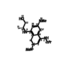 CCCNC1=CN(NC)Cc2c(N[C@H](C)CO)nc(NC)nc21